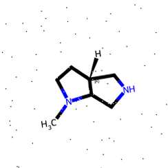 CN1CC[C@@H]2CNCC21